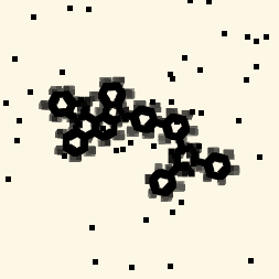 c1ccc(-c2nc(-c3ccccc3)nc(-c3cccc(-c4ccc(-n5c6ccccc6c6c7c(ccc65)c5ccccc5n5c6ccccc6nc75)cc4)c3)n2)cc1